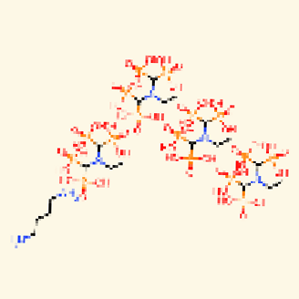 CCN(C(P(=O)(O)O)P(=O)(O)O)C(P(=O)(O)O)P(=O)(O)O.CCN(C(P(=O)(O)O)P(=O)(O)O)C(P(=O)(O)O)P(=O)(O)O.CCN(C(P(=O)(O)O)P(=O)(O)O)C(P(=O)(O)O)P(=O)(O)O.CCN(C(P(=O)(O)O)P(=O)(O)O)C(P(=O)(O)O)P(=O)(O)O.NCCCCN